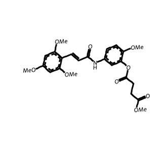 COC(=O)CCC(=O)Oc1cc(NC(=O)C=Cc2c(OC)cc(OC)cc2OC)ccc1OC